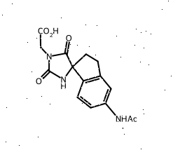 CC(=O)Nc1ccc2c(c1)CCC21NC(=O)N(CC(=O)O)C1=O